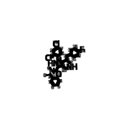 C[C@H](c1ccccc1)N(C)C(=O)C1NN(c2ccc(Cl)cc2Cl)C2=C1CNC/C2=C\c1ccc(F)cc1